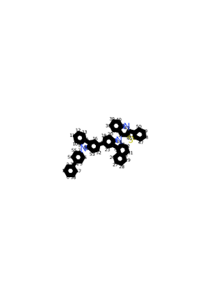 c1ccc(-c2ccc(-n3c4ccccc4c4cc(-c5ccc6c(c5)c5c7ccccc7ccc5n6-c5c6ccccc6nc6c5sc5ccccc56)ccc43)cc2)cc1